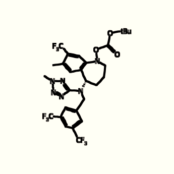 Cc1cc2c(cc1C(F)(F)F)N(OC(=O)OC(C)(C)C)CCC[C@@H]2N(Cc1cc(C(F)(F)F)cc(C(F)(F)F)c1)c1nnn(C)n1